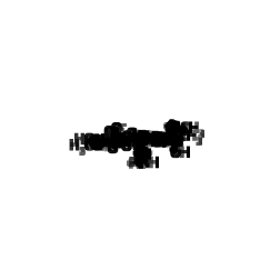 CC(C)c1ccccc1[C@@H]1CC[C@@H](CO)N1C1CC2(CCN(c3ccc(C(=O)NS(=O)(=O)c4cc5c(c([N+](=O)[O-])c4)N[C@@H]([C@H]4CC[C@](C)(O)CC4)CO5)c(Oc4cnc5[nH]cc(F)c5c4)c3)CC2)C1